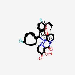 O=C1c2c(O)c(=O)ccn2N(C(c2ccc(F)cc2)c2ccc(F)cc2)[C@@H]2[C@H]3C[C@@H]4CC[C@@]3(CCN12)O4